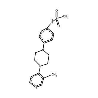 Cc1cnccc1N1CCN(c2ccc(NS(C)(=O)=O)cc2)CC1